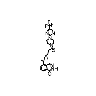 CC(OCCCC(=O)N1CCN(c2ncc(C(F)(F)F)cn2)CC1)c1cccc2c(=O)[nH]ncc12